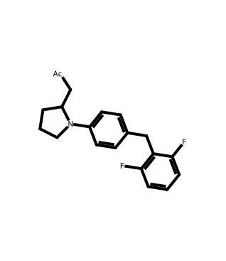 CC(=O)CC1CCCN1c1ccc(Cc2c(F)cccc2F)cc1